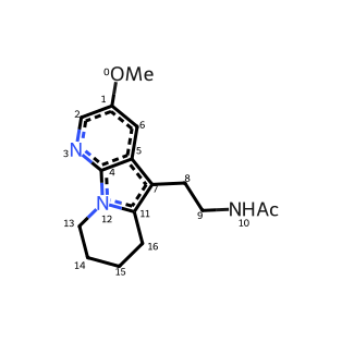 COc1cnc2c(c1)c(CCNC(C)=O)c1n2CCCC1